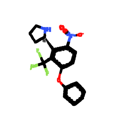 O=[N+]([O-])c1ccc(Oc2ccccc2)c(C(F)(F)F)c1[C@@H]1CCCN1